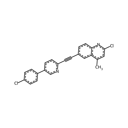 Cc1cc(Cl)nc2ccc(C#Cc3ccc(-c4ccc(Cl)cc4)cn3)cc12